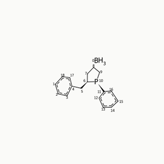 B.c1ccc(C[C@H]2CCC[P@@]2c2ccccc2)cc1